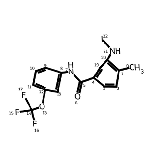 Cc1ccc(C(=O)Nc2cccc(OC(F)(F)F)c2)cc1NI